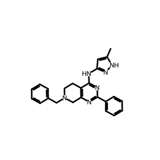 Cc1cc(Nc2nc(-c3ccccc3)nc3c2CCN(Cc2ccccc2)C3)n[nH]1